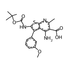 COc1cccc(-c2c(NC(=O)OC(C)(C)C)sc3nc(C)c(C(=O)O)c(N)c23)c1